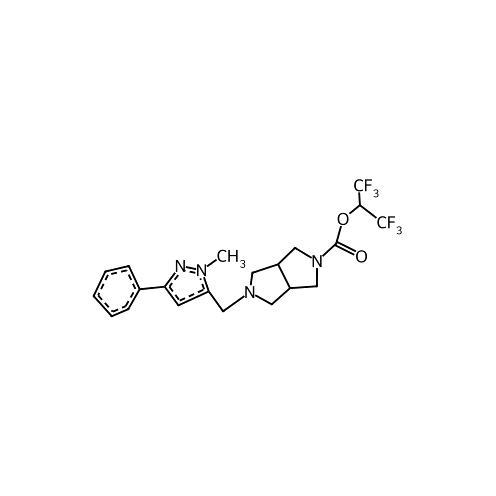 Cn1nc(-c2ccccc2)cc1CN1CC2CN(C(=O)OC(C(F)(F)F)C(F)(F)F)CC2C1